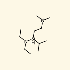 CCN(CC)[SiH](CCN(C)C)C(C)C